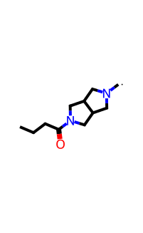 [CH2]N1CC2CN(C(=O)CCC)CC2C1